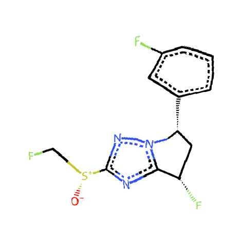 [O-][S@+](CF)c1nc2n(n1)[C@H](c1cccc(F)c1)C[C@@H]2F